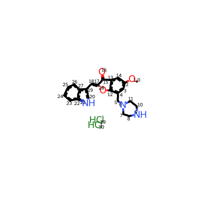 COc1cc(CN2CCNCC2)c2c(c1)C(=O)/C(=C/c1c[nH]c3ccccc13)O2.Cl.Cl